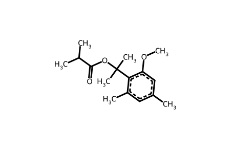 COc1cc(C)cc(C)c1C(C)(C)OC(=O)C(C)C